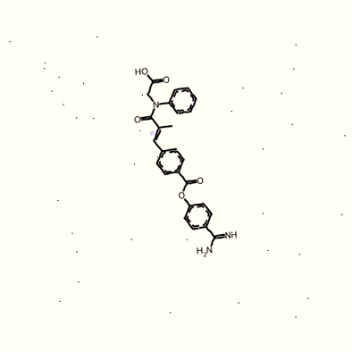 C/C(=C\c1ccc(C(=O)Oc2ccc(C(=N)N)cc2)cc1)C(=O)N(CC(=O)O)c1ccccc1